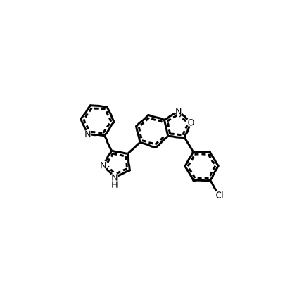 Clc1ccc(-c2onc3ccc(-c4c[nH]nc4-c4ccccn4)cc23)cc1